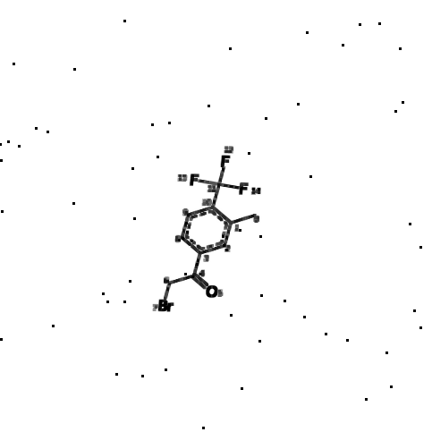 Cc1cc(C(=O)CBr)ccc1C(F)(F)F